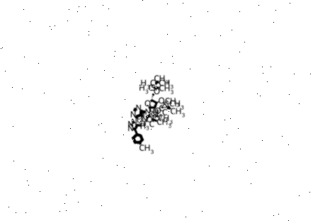 [2H]c1c(-c2ccc(C)cc2)nnn1-c1ncnc2c1ncn2[C@@H]1O[C@H](CO[Si](C)(C)C(C)(C)C)[C@@H](O[Si](C)(C)C(C)(C)C)[C@H]1O[Si](C)(C)C(C)(C)C